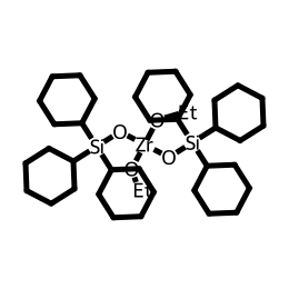 CC[O][Zr]([O]CC)([O][Si](C1CCCCC1)(C1CCCCC1)C1CCCCC1)[O][Si](C1CCCCC1)(C1CCCCC1)C1CCCCC1